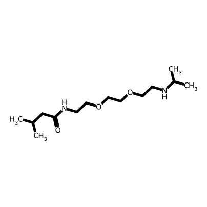 CC(C)CC(=O)NCCOCCOCCNC(C)C